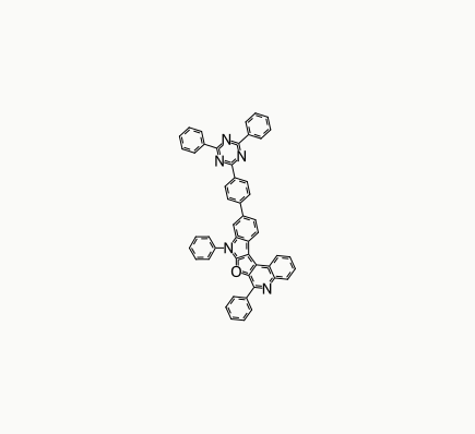 c1ccc(-c2nc(-c3ccccc3)nc(-c3ccc(-c4ccc5c6c7c(oc6n(-c6ccccc6)c5c4)c(-c4ccccc4)nc4ccccc47)cc3)n2)cc1